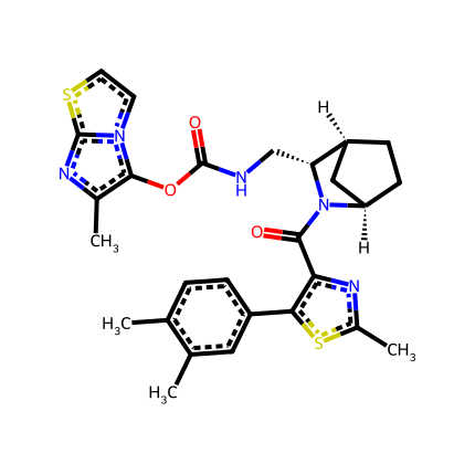 Cc1nc(C(=O)N2[C@@H]3CC[C@@H](C3)[C@H]2CNC(=O)Oc2c(C)nc3sccn23)c(-c2ccc(C)c(C)c2)s1